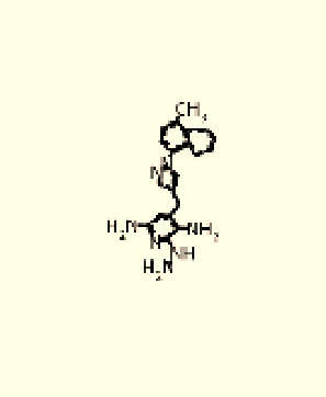 Cc1ccc(-n2cc(Cc3cc(N)nc(NN)c3N)cn2)c2ccccc12